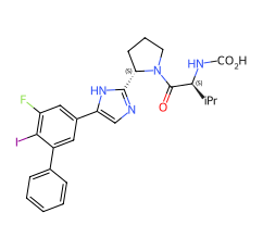 CC(C)[C@H](NC(=O)O)C(=O)N1CCC[C@H]1c1ncc(-c2cc(F)c(I)c(-c3ccccc3)c2)[nH]1